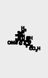 CO/N=C(\C(=O)N[C@H]1CC[C@@H](CC(=O)O)OB1O)c1csc(N)n1